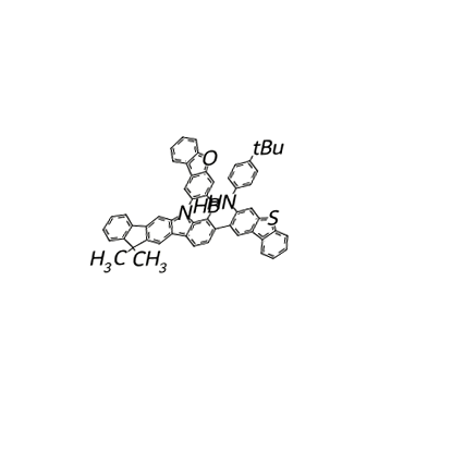 CC(C)(C)c1ccc(Nc2cc3sc4ccccc4c3cc2-c2ccc3c4cc5c(cc4n4c3c2Bc2cc3oc6ccccc6c3cc2-4)-c2ccccc2C5(C)C)cc1